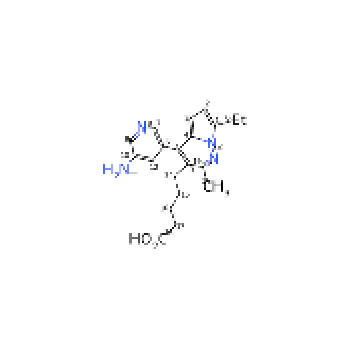 CCc1ccc2c(-c3cncc(N)c3)c(CCCCC(=O)O)c(C)nn12